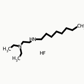 CCCCCCCCNCCN(CC)CC.F